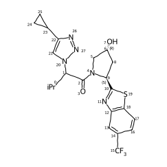 CC(C)C(C(=O)N1C[C@H](O)C[C@H]1c1nc2cc(C(F)(F)F)ccc2s1)n1cc(C2CC2)nn1